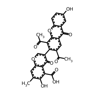 CC(=O)c1cc2c(=O)c3cc(O)ccc3oc2c(C(C)=O)c1-c1coc2cc(C)c(O)c(C(=O)O)c2c1=O